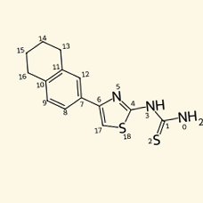 NC(=S)Nc1nc(-c2ccc3c(c2)CCCC3)cs1